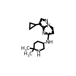 CC1(C)CC[C@H](Nc2c[c]n3ncc(C4CC4)c3n2)CN1